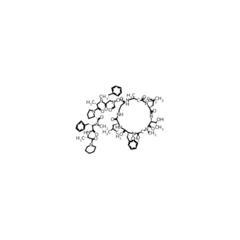 CC(C)C[C@@H]1NC(=O)[C@H](Cc2ccccc2)N(C)C(=O)CN(C)C(=O)[C@H]([C@@H](C)O)NC(=O)[C@H](CC(C)C)N(C)C(=O)C[C@H](C)NC(=O)C[C@@H](C(=O)N(C)[C@@H](Cc2ccccc2)C(=O)N(C)[C@@H](C)C(=O)N2CCC[C@H]2C(=O)N(C)[C@@H](Cc2ccccc2)C(=O)N[C@@H](C)C(=O)N2CCCCC2)NC1=O